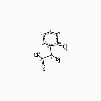 O=C(Cl)C(Br)c1ccccc1Cl